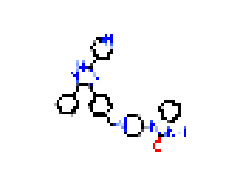 O=c1[nH]c2ccccc2n1C1CCN(Cc2ccc(-c3nc(-c4ccncc4)nnc3-c3ccccc3)cc2)CC1